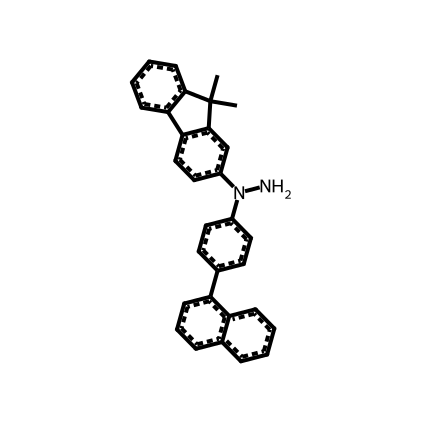 CC1(C)c2ccccc2-c2ccc(N(N)c3ccc(-c4cccc5ccccc45)cc3)cc21